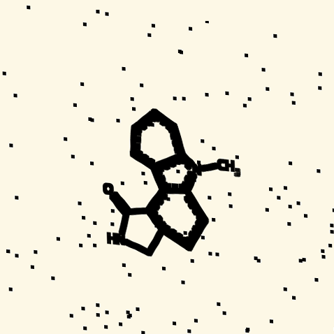 Cn1c2ccccc2c2c3c(ccc21)CNC3=O